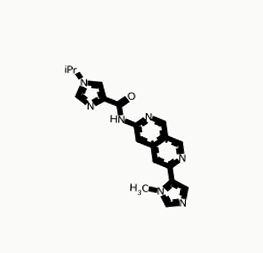 CC(C)n1cnc(C(=O)Nc2cc3cc(-c4cncn4C)ncc3cn2)c1